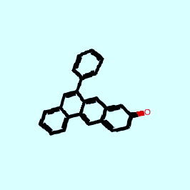 O=C1C=c2cc3c(-c4ccccc4)cc4ccccc4c3cc2=CC1